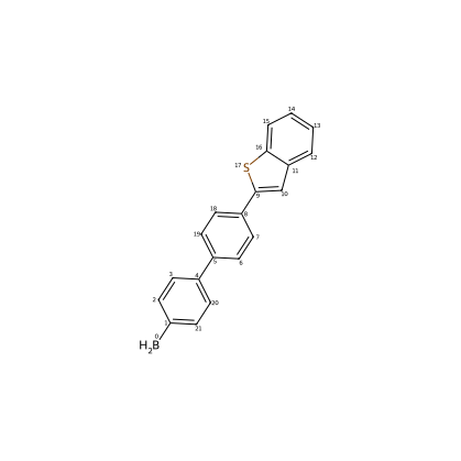 Bc1ccc(-c2ccc(-c3cc4ccccc4s3)cc2)cc1